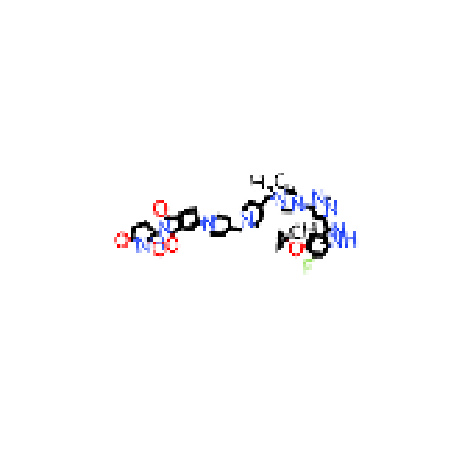 C[C@H]1CN(c2cc(-c3n[nH]c4cc(F)c(OC5(C)CC5)cc34)ncn2)CCN1CC1CCN(CC2CCN(c3ccc4c(c3)C(=O)N(C3CCC(=O)NC3=O)C4=O)CC2)CC1